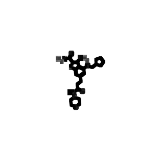 NC(=O)c1sc2cc(CCC(=O)NN3CCOCC3)cc(OCC3CCCC3)c2c1N